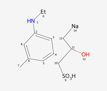 CCNc1cccc(C)c1.O=S(=O)(O)CC(O)[CH2][Na]